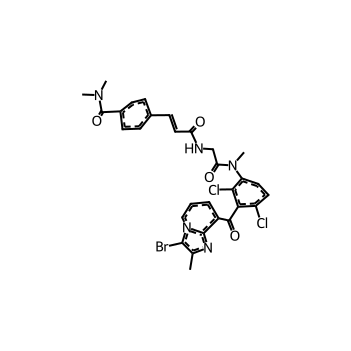 Cc1nc2c(C(=O)c3c(Cl)ccc(N(C)C(=O)CNC(=O)C=Cc4ccc(C(=O)N(C)C)cc4)c3Cl)cccn2c1Br